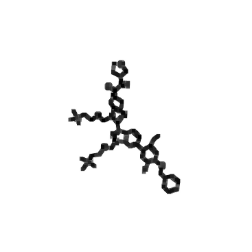 CCc1cc(OCc2ccccc2)c(F)cc1-c1ccc2c(-c3nc4c(n3COCC[Si](C)(C)C)CN(C(=O)NC3CCOC3)C4)nn(COCC[Si](C)(C)C)c2c1